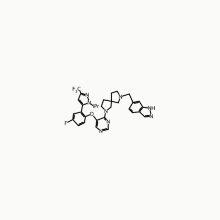 CC(C)n1nc(C(F)(F)F)cc1-c1cc(F)ccc1Oc1cncnc1N1CCC2(CCN(Cc3ccc4cn[nH]c4c3)C2)C1